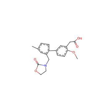 COc1ccc(-c2ccc(C)cc2CN2CCOC2=O)cc1CC(=O)O